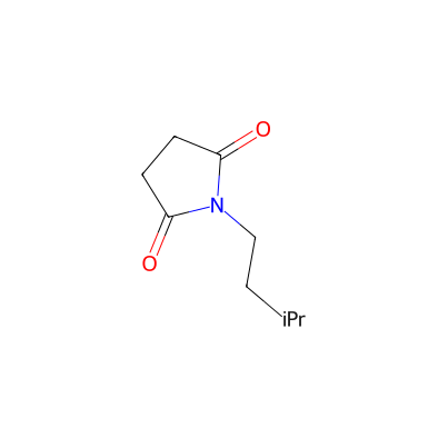 CC(C)CCN1C(=O)CCC1=O